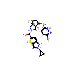 O=C(c1cc2nn(C3CC3)cc2s1)N1C[C@@H]2CC[C@@H](Oc3ccc(Br)nn3)[C@@H]2C1